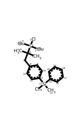 CC(C)(C)S(Cl)(C(C)(C)C)C(C)(C)Cc1ccc([Si](C)(Cl)c2ccccc2)cc1